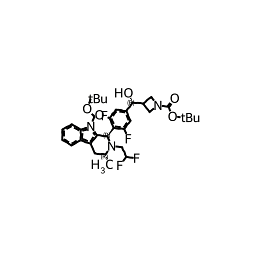 C[C@@H]1Cc2c(n(C(=O)OC(C)(C)C)c3ccccc23)[C@@H](c2c(F)cc([C@H](O)C3CN(C(=O)OC(C)(C)C)C3)cc2F)N1CC(F)F